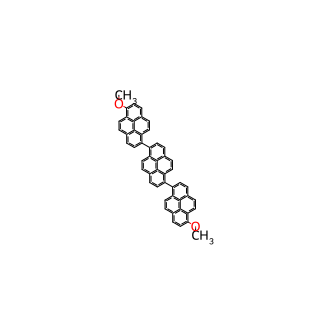 COc1ccc2ccc3c(-c4ccc5ccc6c(-c7ccc8ccc9c(OC)ccc%10ccc7c8c%109)ccc7ccc4c5c76)ccc4ccc1c2c43